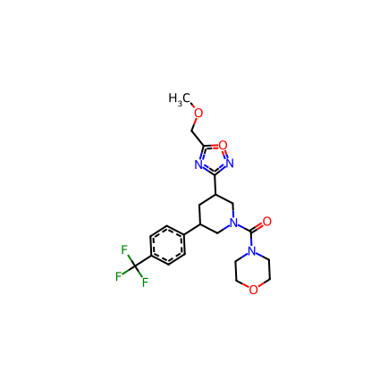 COCc1nc(C2CC(c3ccc(C(F)(F)F)cc3)CN(C(=O)N3CCOCC3)C2)no1